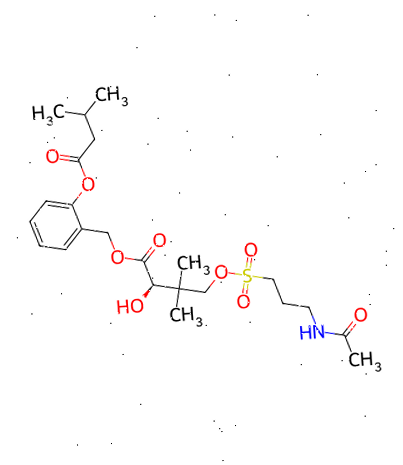 CC(=O)NCCCS(=O)(=O)OCC(C)(C)[C@@H](O)C(=O)OCc1ccccc1OC(=O)CC(C)C